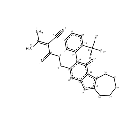 C/C(N)=C(/C#N)C(=O)CSc1nc2sc3c(c2c(=O)n1-c1ccccc1C(F)(F)F)CCCCC3